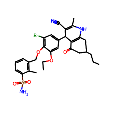 CCCC1CC(=O)C2=C(C1)NC(C)=C(C#N)C2c1cc(Br)c(OCc2cccc(S(N)(=O)=O)c2C)c(OCC)c1